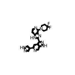 FC1(F)CCN(c2nccc3[nH]c(-c4n[nH]c5cnc(-c6cn[nH]c6)cc45)nc23)CC1